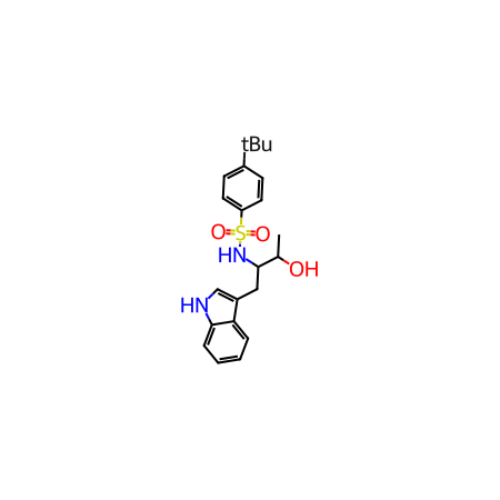 CC(O)C(Cc1c[nH]c2ccccc12)NS(=O)(=O)c1ccc(C(C)(C)C)cc1